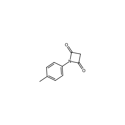 Cc1ccc(N2C(=O)CC2=O)cc1